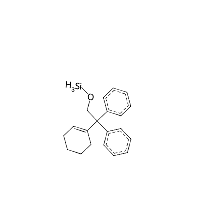 [SiH3]OCC(C1=CCCCC1)(c1ccccc1)c1ccccc1